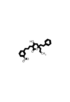 CCCC1(CCc2ccccc2)CC(O)=C(CCCc2cccc([N+](=O)[O-])c2)C(=O)O1